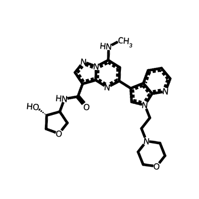 CNc1cc(-c2cn(CCN3CCOCC3)c3ncccc23)nc2c(C(=O)NC3COC[C@@H]3O)cnn12